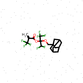 C=C(C(=O)OC(OCC12CC3CC(CC(C3)C1)C2)(C(F)F)C(F)(F)F)C(F)(F)F